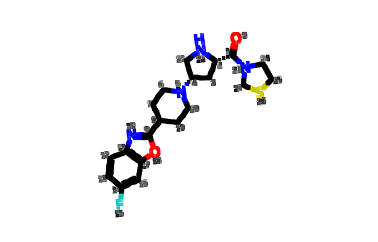 O=C([C@@H]1C[C@H](N2CCC(c3nc4ccc(F)cc4o3)CC2)CN1)N1CCSC1